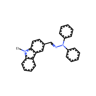 CCn1c2ccccc2c2cc(C=NN(c3ccccc3)c3ccccc3)ccc21